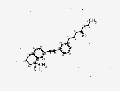 CCOC(=O)CCCc1cccc(C#Cc2ccc3c(c2)C(C)(C)CCO3)c1